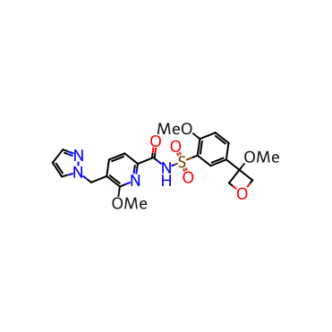 COc1ccc(C2(OC)COC2)cc1S(=O)(=O)NC(=O)c1ccc(Cn2cccn2)c(OC)n1